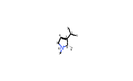 CC(C)C1=CCN(C)[C@H]1C